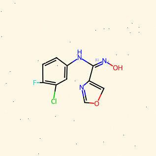 O/N=C(/Nc1ccc(F)c(Cl)c1)c1cocn1